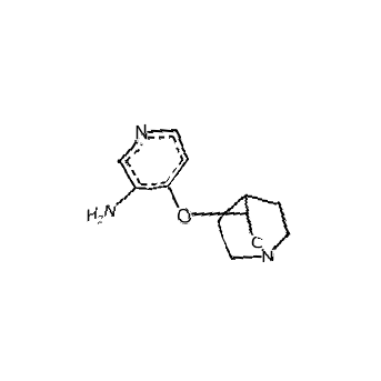 Nc1cnccc1OC1CN2CCC1CC2